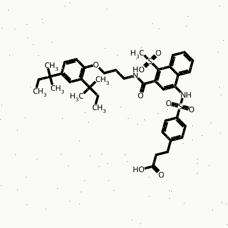 CCC(C)(C)c1ccc(OCCCNC(=O)c2cc(NS(=O)(=O)c3ccc(CCC(=O)O)cc3)c3ccccc3c2S(C)(=O)=O)c(C(C)(C)CC)c1